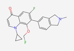 CN1Cc2ccc(-c3c(F)cc4c(=O)ccn(C5CC5)c4c3OCF)cc2C1